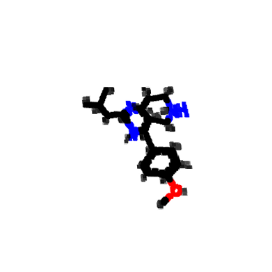 COc1ccc(-c2nc(CC(C)C)nc3c2CNCC3)cc1